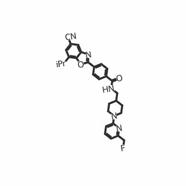 CC(C)c1cc(C#N)cc2nc(-c3ccc(C(=O)NCC4CCN(c5cccc(CF)n5)CC4)cc3)oc12